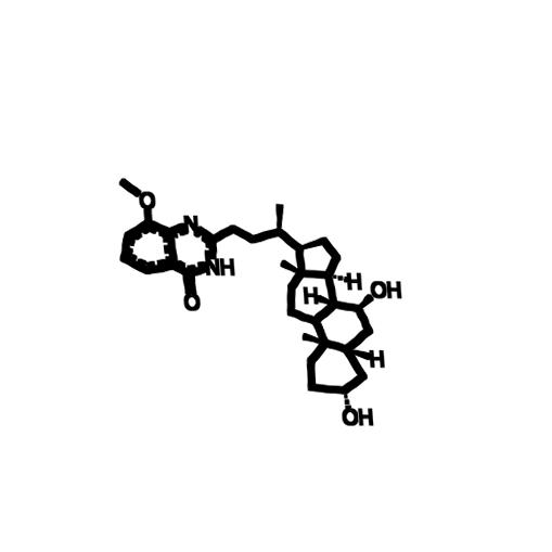 COc1cccc2c(=O)[nH]c(CC[C@@H](C)[C@H]3CC[C@H]4[C@H]5C(CC[C@]34C)[C@@]3(C)CC[C@@H](O)C[C@H]3C[C@@H]5O)nc12